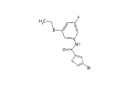 CCSc1cc(F)cc(NC(=O)c2cc(Br)cs2)c1